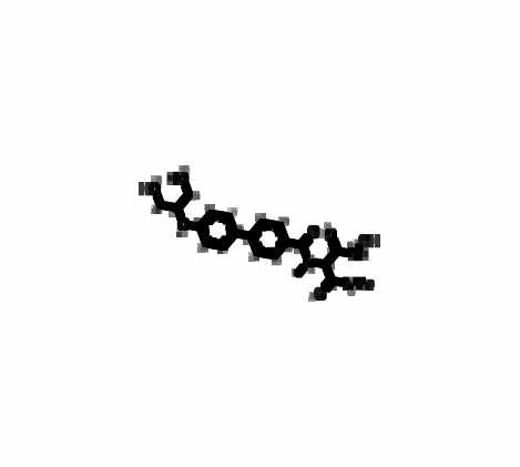 CNC(=O)C(C(=O)NO)N(C)C(=O)c1ccc(-c2ccc(OC(CO)CO)cc2)cc1